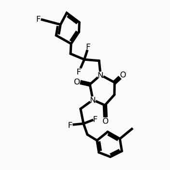 Cc1cccc(CC(F)(F)CN2C(=O)CC(=O)N(CC(F)(F)Cc3cccc(F)c3)C2=O)c1